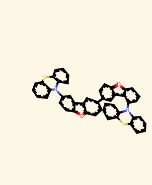 c1ccc2c(c1)Sc1ccccc1N2c1ccc2oc3ccc(-c4ccc5oc6cccc(N7c8ccccc8Sc8ccccc87)c6c5c4)cc3c2c1